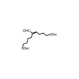 CCCCCCCCCCCCCC=C([C]=O)CCCCCCCCCCCCCC